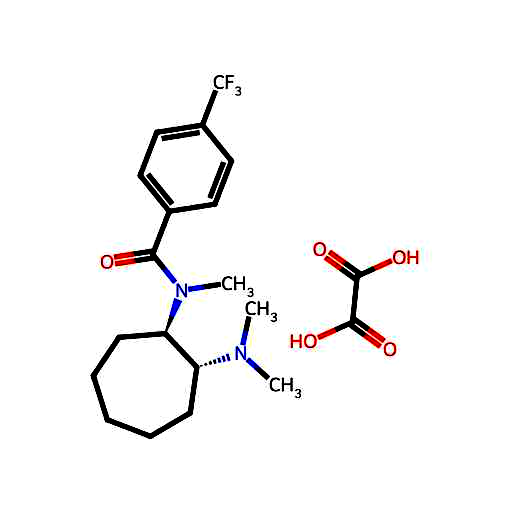 CN(C)[C@@H]1CCCCC[C@H]1N(C)C(=O)c1ccc(C(F)(F)F)cc1.O=C(O)C(=O)O